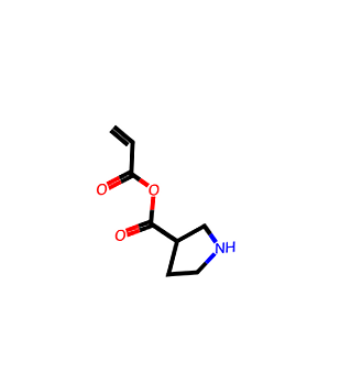 C=CC(=O)OC(=O)C1CCNC1